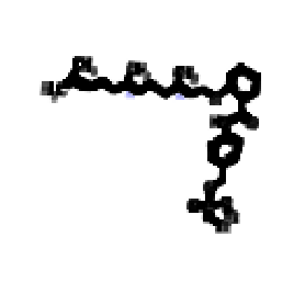 CCOP(=O)(OCC)OCc1ccc(NC(=O)c2ccccc2OC/C=C(\C)CC/C=C(\C)CCC=C(C)C)cc1